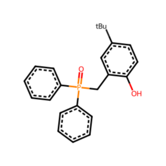 CC(C)(C)c1ccc(O)c(CP(=O)(c2ccccc2)c2ccccc2)c1